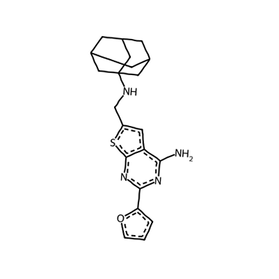 Nc1nc(-c2ccco2)nc2sc(CNC34CC5CC(CC(C5)C3)C4)cc12